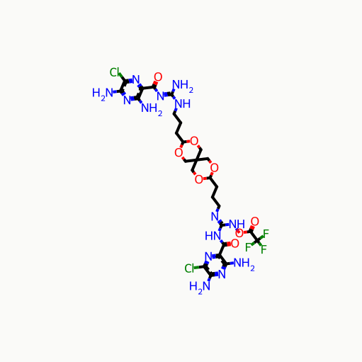 NC(=NC(=O)c1nc(Cl)c(N)nc1N)NCCCC1OCC2(COC(CCCN=C(NOC(=O)C(F)(F)F)NC(=O)c3nc(Cl)c(N)nc3N)OC2)CO1